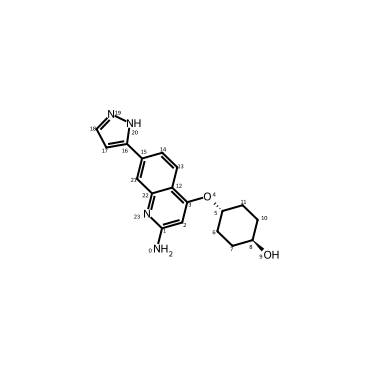 Nc1cc(O[C@H]2CC[C@H](O)CC2)c2ccc(-c3ccn[nH]3)cc2n1